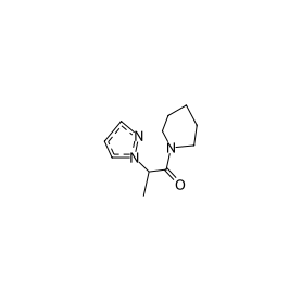 CC(C(=O)N1CCCCC1)n1cccn1